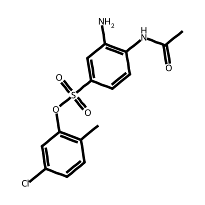 CC(=O)Nc1ccc(S(=O)(=O)Oc2cc(Cl)ccc2C)cc1N